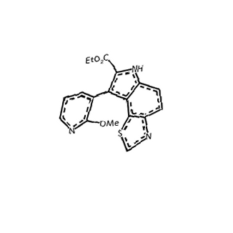 CCOC(=O)c1[nH]c2ccc3ncsc3c2c1-c1cccnc1OC